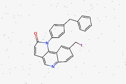 O=c1ccc2cnc3ccc(CI)cc3c2n1-c1ccc(Cc2ccccc2)cc1